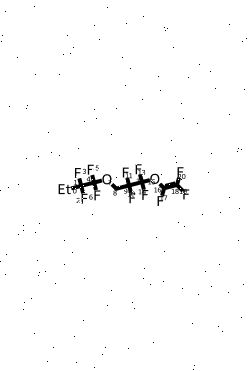 CCC(F)(F)C(F)(F)OCC(F)(F)C(F)(F)OC(F)=C(F)F